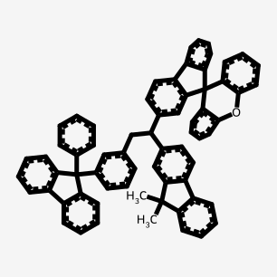 CC1(C)c2ccccc2-c2ccc(C(Cc3cccc(C4(c5ccccc5)c5ccccc5-c5ccccc54)c3)c3ccc4c(c3)C3(c5ccccc5Oc5ccccc53)c3ccccc3-4)cc21